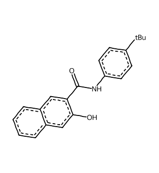 CC(C)(C)c1ccc(NC(=O)c2cc3ccccc3cc2O)cc1